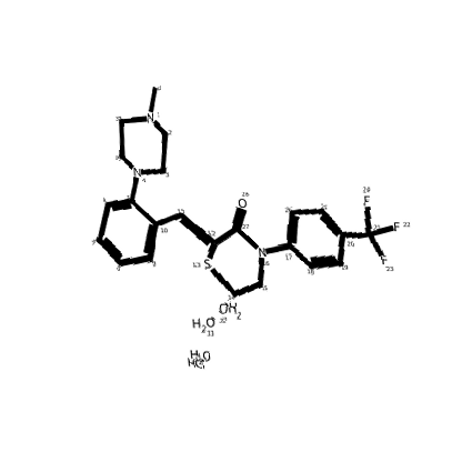 CN1CCN(c2ccccc2C=C2SCCN(c3ccc(C(F)(F)F)cc3)C2=O)CC1.Cl.O.O.O